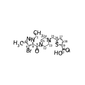 CCn1nc(C)c(Br)c1C(=O)N1CCN(Cc2ccc(C(=O)O)s2)CC1